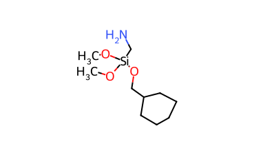 CO[Si](CN)(OC)OCC1CCCCC1